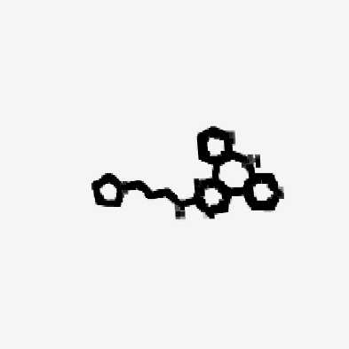 c1cnc2c(c1)-c1nc(NCCCN3CCCC3)ncc1-c1ccncc1N2